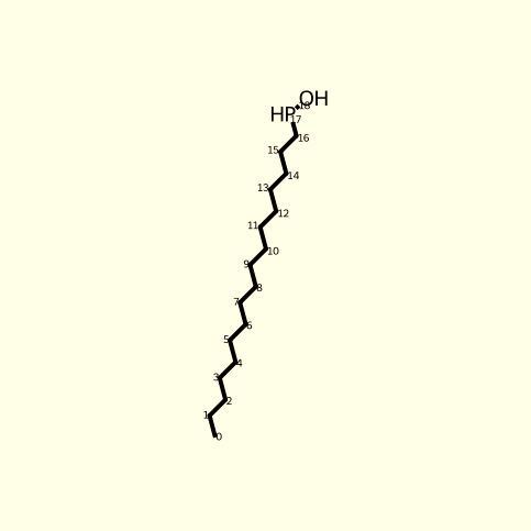 CCCCCCCCCCCCCCCCCPO